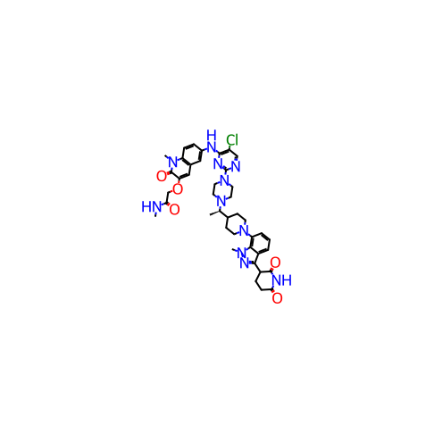 CNC(=O)COc1cc2cc(Nc3nc(N4CCN([C@H](C)C5CCN(c6cccc7c(C8CCC(=O)NC8=O)nn(C)c67)CC5)CC4)ncc3Cl)ccc2n(C)c1=O